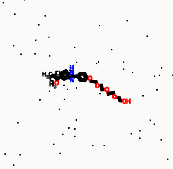 CC(C)(C)C(=O)c1ccc2[nH]c(-c3ccc(OCCOCCOCCOCCO)cc3)nc2c1